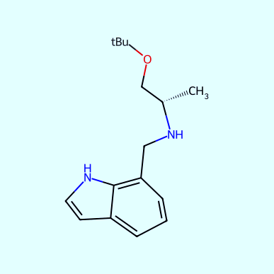 C[C@@H](COC(C)(C)C)NCc1cccc2cc[nH]c12